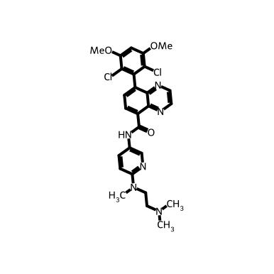 COc1cc(OC)c(Cl)c(-c2ccc(C(=O)Nc3ccc(N(C)CCN(C)C)nc3)c3nccnc23)c1Cl